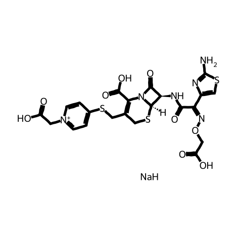 Nc1nc(/C(=N/OCC(=O)O)C(=O)N[C@@H]2C(=O)N3C(C(=O)O)=C(CSc4cc[n+](CC(=O)O)cc4)CS[C@H]23)cs1.[NaH]